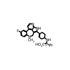 CC(C)[C@H](NC1CC=C(c2[nH]c3nccc4c3c2CN(C)c2ccc(F)cc2-4)CC1)C(=O)O